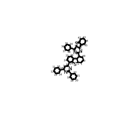 C1=CC2Sc3c(-c4cc(-c5ccccc5)nc(-c5ccccc5)n4)cccc3C2C(c2nc(-c3ccccc3)c3sc4ccccc4c3n2)=C1